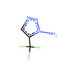 Nn1nncc1C(F)(F)F